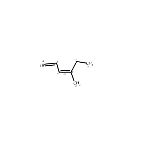 CC/C(C)=C\C=N